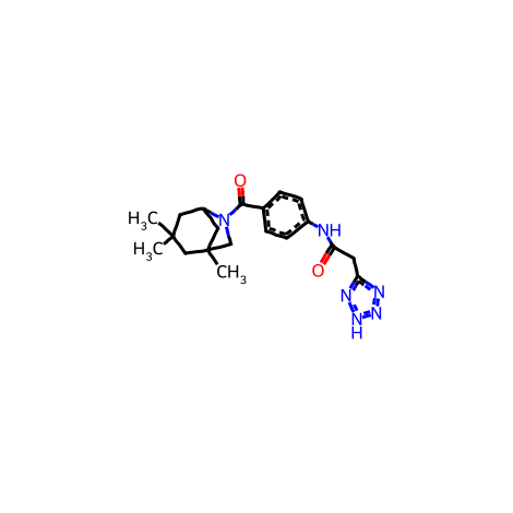 CC1(C)CC2CC(C)(CN2C(=O)c2ccc(NC(=O)Cc3nn[nH]n3)cc2)C1